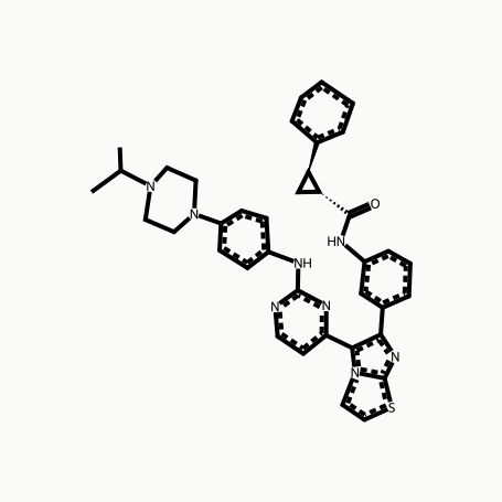 CC(C)N1CCN(c2ccc(Nc3nccc(-c4c(-c5cccc(NC(=O)[C@@H]6C[C@H]6c6ccccc6)c5)nc5sccn45)n3)cc2)CC1